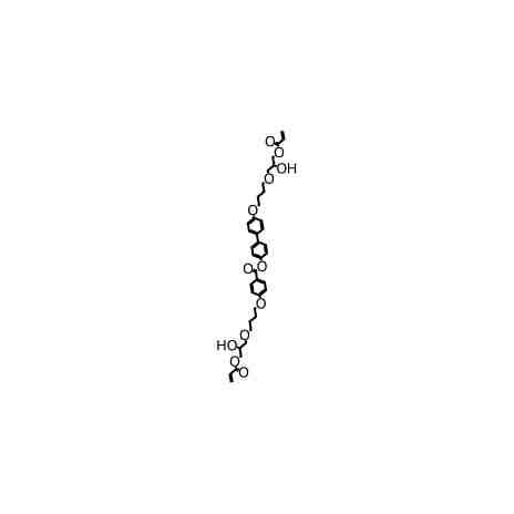 C=CC(=O)OCC(O)COCCCCOc1ccc(C(=O)Oc2ccc(-c3ccc(OCCCCOCC(O)COC(=O)C=C)cc3)cc2)cc1